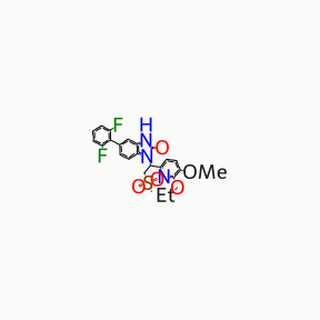 CCOc1nc(C(CS(C)(=O)=O)n2c(=O)[nH]c3cc(-c4c(F)cccc4F)ccc32)ccc1OC